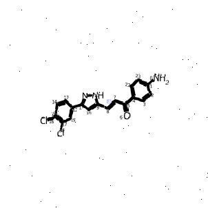 Nc1ccc(C(=O)/C=C/c2cc(-c3ccc(Cl)c(Cl)c3)n[nH]2)cc1